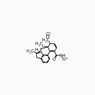 CC1=Cc2c(cccc2C2=C(C(=O)[NH][Ti+2])C=CC(C)C2=[Si](C)C)C1.[Cl-].[Cl-]